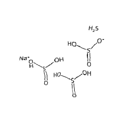 O=S(O)O.O=S(O)O.O=S([O-])O.S.[Na+]